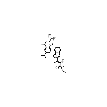 CCOC(=O)C(F)=C(C)c1cc2cccc(-c3cc(C(C)C)cc(C(C)C)c3OCC(F)F)c2o1